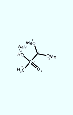 COC(OC)P(C)(=O)O.[NaH]